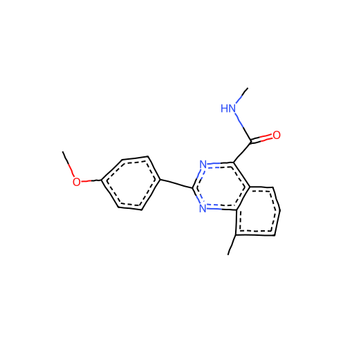 CNC(=O)c1nc(-c2ccc(OC)cc2)nc2c(C)cccc12